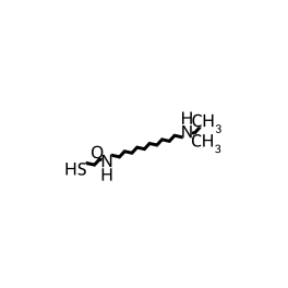 CCC(C)NCCCCCCCCCCCCNC(=O)CCS